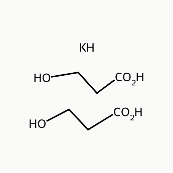 O=C(O)CCO.O=C(O)CCO.[KH]